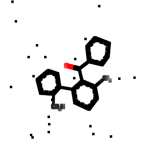 O=C(O)c1ccccc1-c1cccc(C(F)(F)F)c1C(=O)c1ccccc1